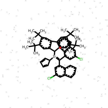 CC(C)(C)c1cc2c(cc1C(C)(C)C)[CH]([Zr](=[C](c1cc(Cl)cc3ccccc13)c1cc(Cl)cc3ccccc13)[CH]1C=CC=C1)c1cc(C(C)(C)C)c(C(C)(C)C)cc1-2